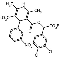 CCOC(=O)C1=C(C)NC(C)=C(C(=O)OC(C(=O)OCC)c2ccc(Cl)c(Cl)c2)C1c1cccc([N+](=O)[O-])c1